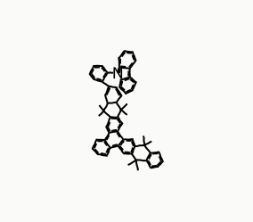 CC1(C)c2ccccc2C(C)(C)c2cc3c(cc21)c1ccccc1c1cc2c(cc31)C(C)(C)C1C=CC(c3ccccc3-n3c4ccccc4c4ccccc43)=CC1C2(C)C